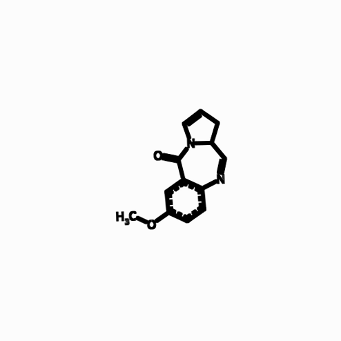 COc1ccc2c(c1)C(=O)N1C=CCC1C=N2